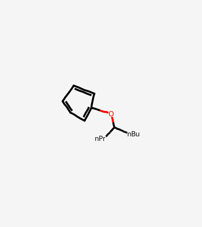 CCCCC(CCC)Oc1ccccc1